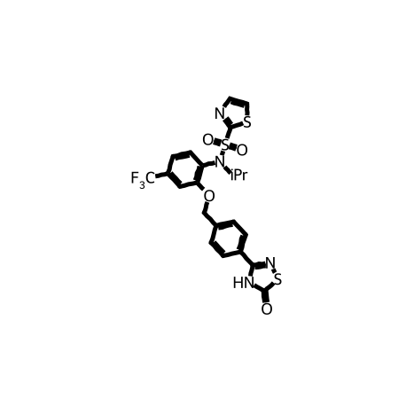 CC(C)N(c1ccc(C(F)(F)F)cc1OCc1ccc(-c2nsc(=O)[nH]2)cc1)S(=O)(=O)c1nccs1